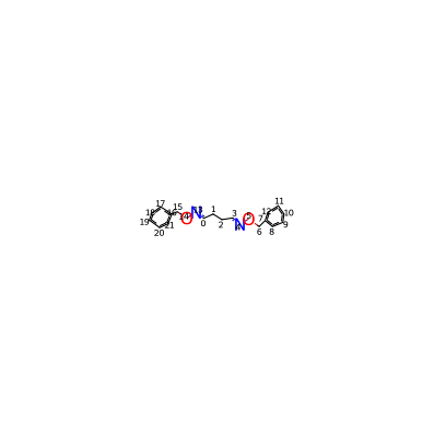 C(/CC/C=N/OCc1ccccc1)=N\OCc1ccccc1